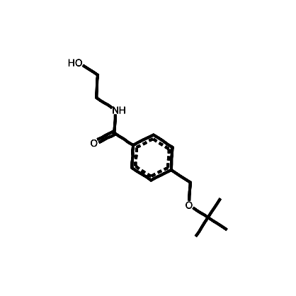 CC(C)(C)OCc1ccc(C(=O)NCCO)cc1